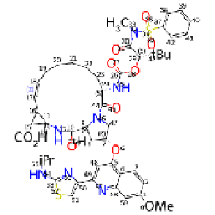 COc1ccc2c(O[C@@H]3C[C@H]4C(=O)N[C@]5(C(=O)O)CC5/C=C\CCCCC[C@H](NC(=O)O[C@H](C(=O)N(C)S(=O)(=O)c5ccccc5)C(C)(C)C)C(=O)N4C3)cc(-c3csc(NC(C)C)n3)nc2c1